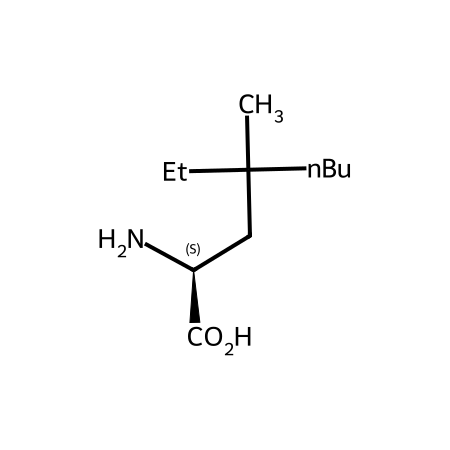 CCCCC(C)(CC)C[C@H](N)C(=O)O